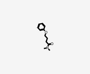 CN(C)C(=O)CCCOc1c[c]ccc1